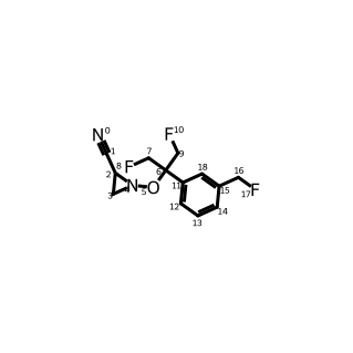 N#CC1CN1OC(CF)(CF)c1cccc(CF)c1